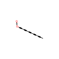 CC#CC#CC#CC#CC#COB=O